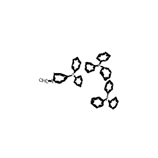 O=[CH][Ir].c1ccc(P(c2ccccc2)c2ccccc2)cc1.c1ccc(P(c2ccccc2)c2ccccc2)cc1.c1ccc(P(c2ccccc2)c2ccccc2)cc1